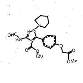 COC(=O)COc1ccc(C2=S(C(=O)OC(C)(C)C)C(NC=O)=NN2N2CCCCC2)cc1